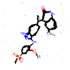 CCOc1cc(S(C)(=O)=O)ccc1Nc1n[nH]c2cc(C3C[C@@]34C(=O)Nc3ccc(OC)cc34)ccc12